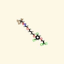 ClC(Cl)=CCOc1cc(Cl)c(OCCCCCOCC=NOCC(Br)(Br)Br)c(Cl)c1